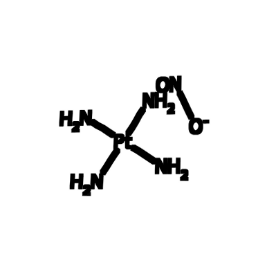 O=[NH+][O-].[NH2][Pt]([NH2])([NH2])[NH2]